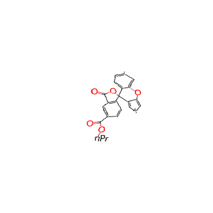 CCCOC(=O)c1ccc2c(c1)C(=O)OC21c2cc[c]cc2Oc2c[c]ccc21